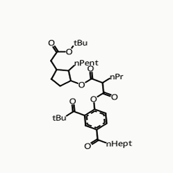 CCCCCCCC(=O)c1ccc(OC(=O)C(CCC)C(=O)OC2CCC(CC(=O)OC(C)(C)C)C2CCCCC)c(C(=O)C(C)(C)C)c1